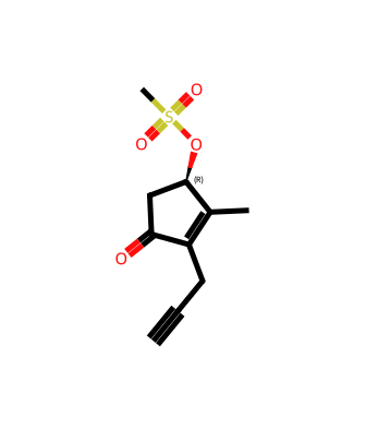 C#CCC1=C(C)[C@H](OS(C)(=O)=O)CC1=O